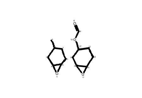 CC1CCC2OC2C1.O=COC1CCC2OC2C1